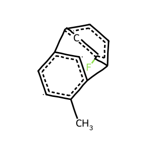 Cc1[c]cc2[c]c1-c1ccc-2cc1F